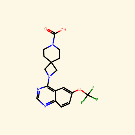 O=C(O)N1CCC2(CC1)CN(c1ncnc3ccc(OC(F)(F)F)cc13)C2